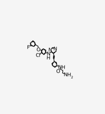 NCCC(=O)Nc1cccc(C#Cc2cncnc2Nc2ccc(OCc3cccc(F)c3)c(Cl)c2)c1